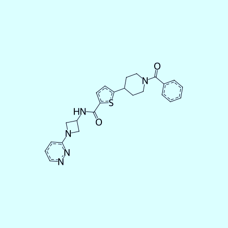 O=C(NC1CN(c2cccnn2)C1)c1ccc(C2CCN(C(=O)c3ccccc3)CC2)s1